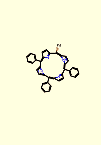 Brc1c2nc(c(-c3ccccc3)c3ccc([nH]3)c(-c3ccccc3)c3nc(c(-c4ccccc4)c4ccc1[nH]4)C=C3)C=C2.[Pd]